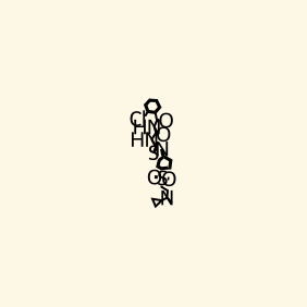 CN(CCS(=O)(=O)c1ccc2nc(NC(=O)NC(=O)c3ccccc3Cl)sc2c1)C1CC1